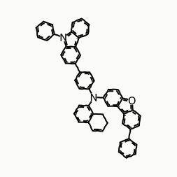 C1=Cc2cccc(N(c3ccc(-c4ccc5c(c4)c4ccccc4n5-c4ccccc4)cc3)c3ccc4oc5ccc(-c6ccccc6)cc5c4c3)c2CC1